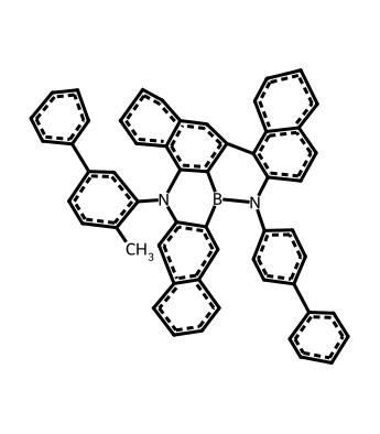 Cc1ccc(-c2ccccc2)cc1N1c2cc3ccccc3cc2B2c3c(cc4ccccc4c31)-c1c(ccc3ccccc13)N2c1ccc(-c2ccccc2)cc1